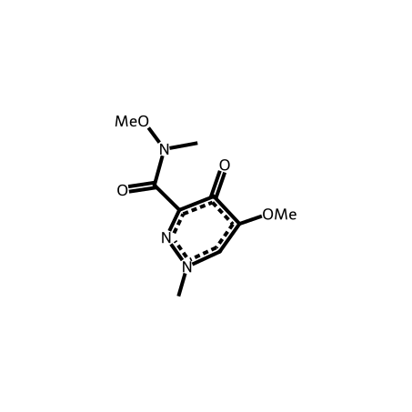 COc1cn(C)nc(C(=O)N(C)OC)c1=O